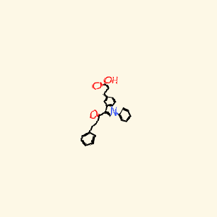 O=C(O)CCc1ccc2c(c1)c(C(=O)CCc1ccccc1)cn2-c1ccccc1